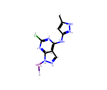 Cc1cc(Nc2nc(Cl)nc3c2cnn3PI)n[nH]1